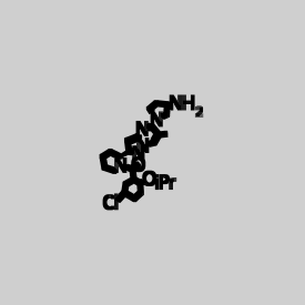 Cc1cn2nc([C@@H]3CCCCN3C(=O)C3CC(Cl)CCC3OC(C)C)cc2nc1N1CC[C@H](N)C1